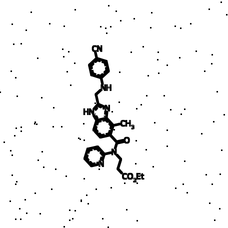 CCOC(=O)CCN(C(=O)c1ccc2[nH]c(CNc3ccc(C#N)cc3)nc2c1C)c1ccccn1